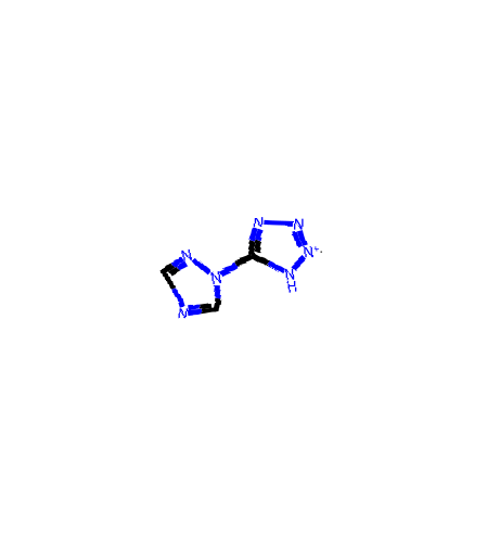 c1ncn(C2=NN=[N+]N2)n1